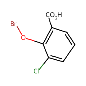 O=C(O)c1cccc(Cl)c1OBr